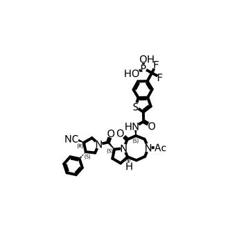 CC(=O)N1CC[C@H]2CC[C@@H](C(=O)N3C[C@H](c4ccccc4)[C@@H](C#N)C3)N2C(=O)[C@@H](NC(=O)c2cc3cc(C(F)(F)P(O)O)ccc3s2)C1